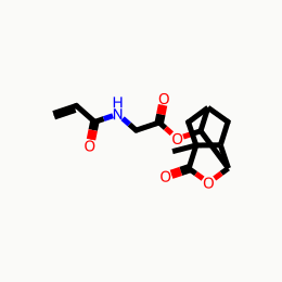 C=CC(=O)NCC(=O)OC1C2CC3C1OC(=O)C3(C)C2